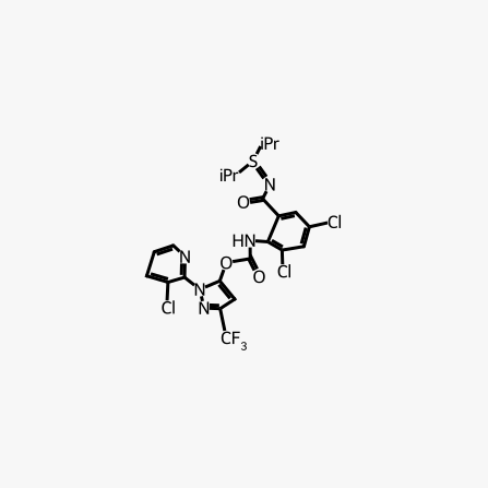 CC(C)S(=NC(=O)c1cc(Cl)cc(Cl)c1NC(=O)Oc1cc(C(F)(F)F)nn1-c1ncccc1Cl)C(C)C